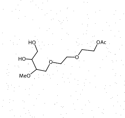 COC(COCCOCCOC(C)=O)C(O)CO